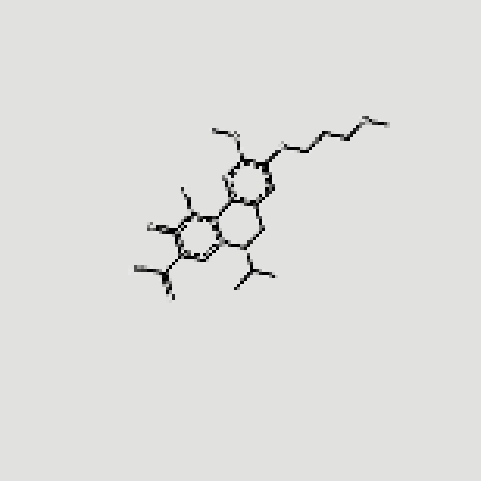 COCCCOc1cc2c(nc1OC)-c1c(F)c(=O)c(C(=O)O)cn1[C@H](C(C)C)C2